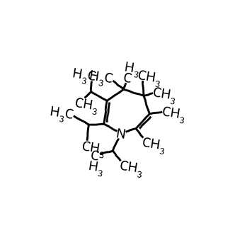 CC1=C(C)C(C)(C)C(C)(C)C(C(C)C)=C(C(C)C)N1C(C)C